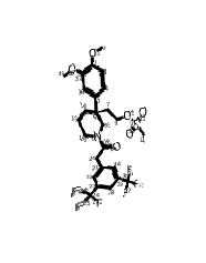 COc1ccc([C@@]2(CCOS(C)(=O)=O)CCCN(C(=O)Cc3cc(C(F)(F)F)cc(C(F)(F)F)c3)C2)cc1OC